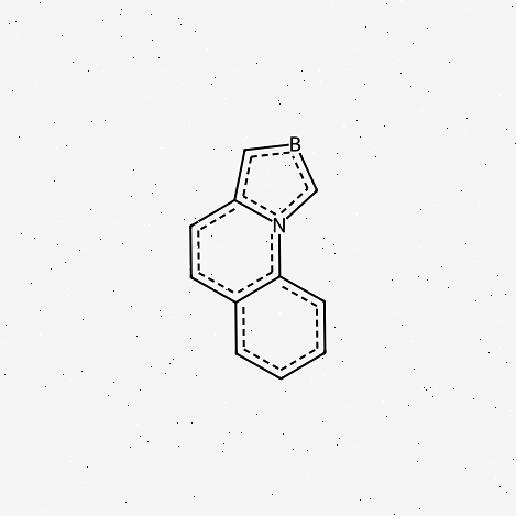 b1cc2ccc3ccccc3n2c1